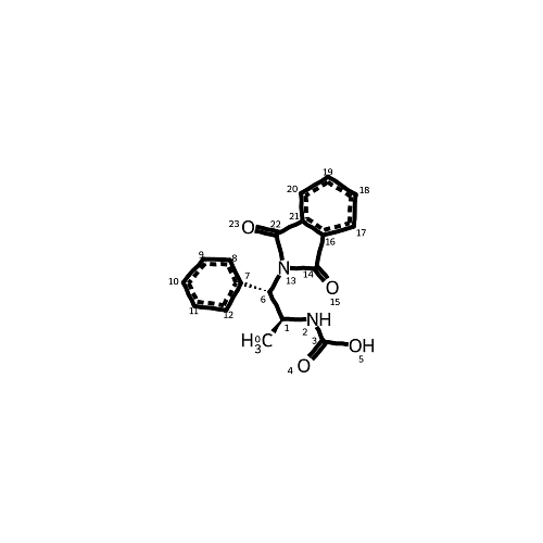 C[C@H](NC(=O)O)[C@H](c1ccccc1)N1C(=O)c2ccccc2C1=O